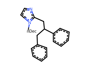 CCCCCCCCCCn1ccnc1CC(Cc1ccccc1)c1ccccc1